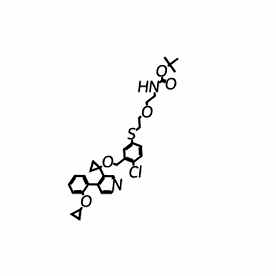 CC(C)(C)OC(=O)NCCOCCSc1ccc(Cl)c(COC2(c3cnccc3-c3ccccc3OC3CC3)CC2)c1